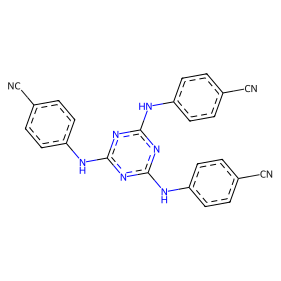 N#Cc1ccc(Nc2nc(Nc3ccc(C#N)cc3)nc(Nc3ccc(C#N)cc3)n2)cc1